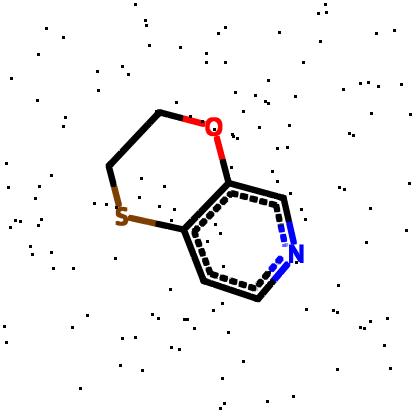 c1cc2c(cn1)OCCS2